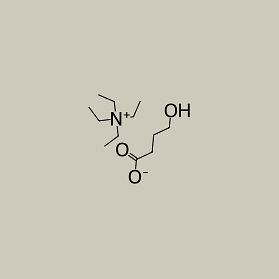 CC[N+](CC)(CC)CC.O=C([O-])CCCO